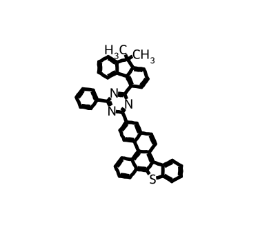 CC1(C)c2ccccc2-c2c(-c3nc(-c4ccccc4)nc(-c4ccc5c(ccc6c5c5ccccc5c5sc7ccccc7c65)c4)n3)cccc21